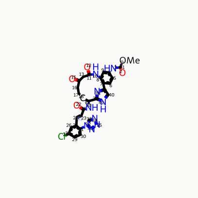 COC(=O)Nc1ccc2c(c1)NC(=O)CC(=O)CCC[C@H](NC(=O)/C=C/c1cc(Cl)ccc1-n1cnnn1)c1nc-2c[nH]1